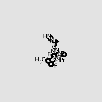 C#Cc1c(F)ccc2cc(C)cc(-c3nc(OC(C)C)c4c(N5CC6CCC(C6)C5)nc(OCC5(CN6CCNCC6)CC5)nc4c3F)c12